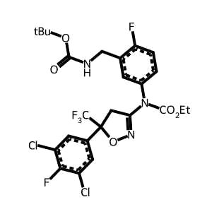 CCOC(=O)N(C1=NOC(c2cc(Cl)c(F)c(Cl)c2)(C(F)(F)F)C1)c1ccc(F)c(CNC(=O)OC(C)(C)C)c1